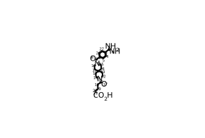 N=C(N)c1ccc(C(=O)N2CCC3(CCN(C(=O)CCCC(=O)O)CC3)CC2)cc1